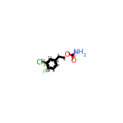 NC(=O)OC[CH]c1ccc(F)c(Cl)c1